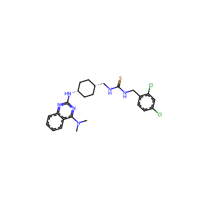 CN(C)c1nc(N[C@H]2CC[C@@H](CNC(=S)NCc3ccc(Cl)cc3Cl)CC2)nc2ccccc12